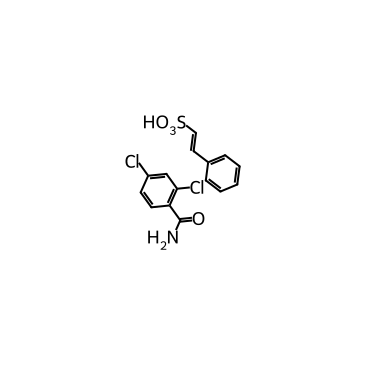 NC(=O)c1ccc(Cl)cc1Cl.O=S(=O)(O)/C=C/c1ccccc1